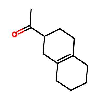 CC(=O)C1CCC2=C(CCCC2)C1